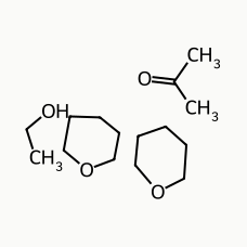 C1CCOCC1.C1CCOCC1.CC(C)=O.CCO